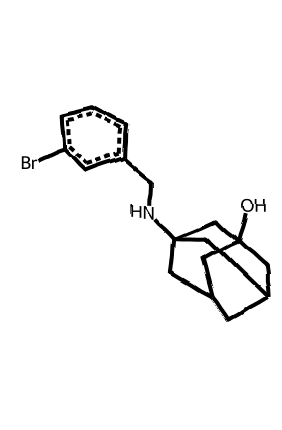 OC12CC3CC(C1)CC(NCc1cccc(Br)c1)(C3)C2